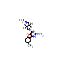 CN1C[C@@H]2CN(c3nc(N)nc4c5c(oc34)CCC(C(F)(F)F)C5)C[C@@H]2C1